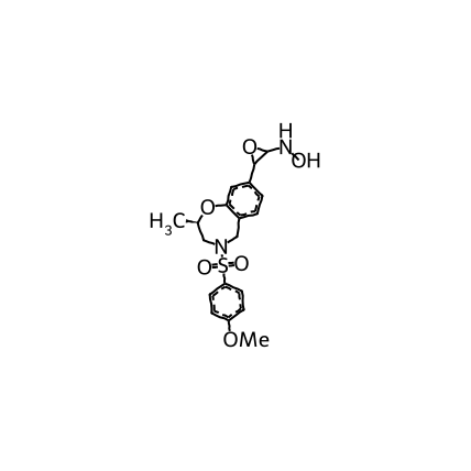 COc1ccc(S(=O)(=O)N2Cc3ccc(C4OC4NO)cc3O[C@H](C)C2)cc1